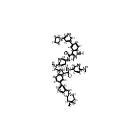 CN(C)c1ccc(NC(=O)c2nn(CN(C)c3ccc(NC(=O)c4n[nH]c5ccc(-c6cncc(N7CCCC7)c6)cc45)cn3)c3ccc(-c4cncc(CN5CCC(F)(F)CC5)c4)cc23)cn1